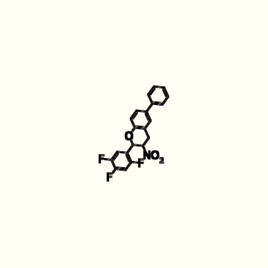 O=[N+]([O-])C1Cc2cc(-c3ccccc3)ccc2OC1c1cc(F)c(F)cc1F